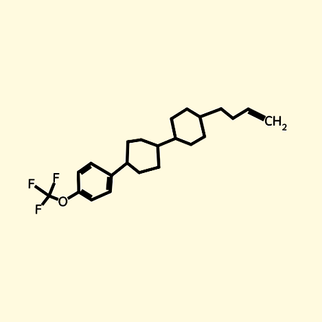 C=CCCC1CCC(C2CCC(c3ccc(OC(F)(F)F)cc3)CC2)CC1